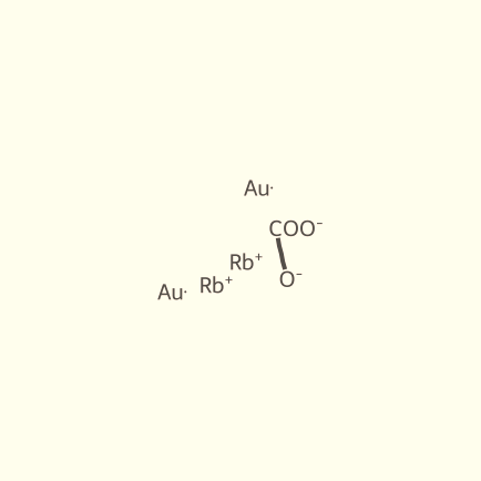 O=C([O-])[O-].[Au].[Au].[Rb+].[Rb+]